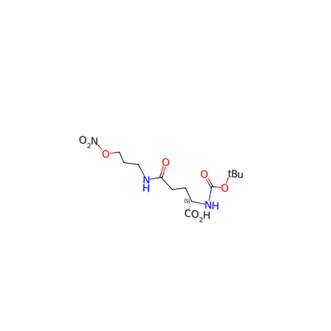 CC(C)(C)OC(=O)N[C@@H](CCC(=O)NCCCO[N+](=O)[O-])C(=O)O